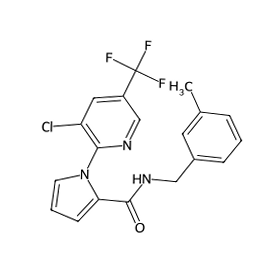 Cc1cccc(CNC(=O)c2cccn2-c2ncc(C(F)(F)F)cc2Cl)c1